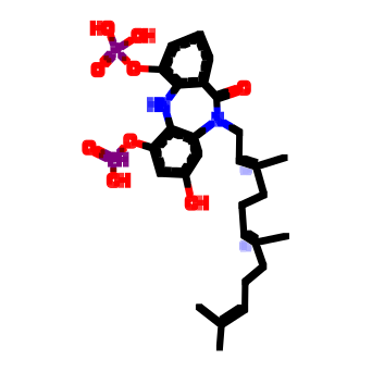 CC(C)=CCC/C(C)=C/CC/C(C)=C/CN1C(=O)c2cccc(OP(=O)(O)O)c2Nc2c(O[PH](=O)O)cc(O)cc21